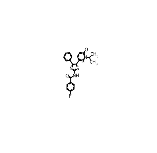 CC(C)n1nc(-c2sc(NC(=O)c3ccc(F)cc3)nc2-c2ccccc2)ccc1=O